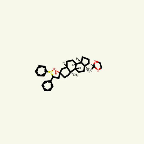 CC1([C@H]2CC[C@H]3[C@@H]4CC[C@H]5C[C@@](O)(CC(c6ccccc6)[S+]([O-])c6ccccc6)CC[C@]5(C)[C@H]4CC[C@]23C)OCCO1